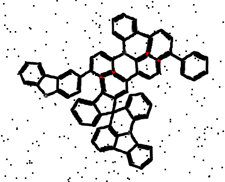 c1ccc(-c2ccc(-c3ccccc3N(c3ccc(-c4ccc5oc6ccccc6c5c4)cc3)c3ccccc3-c3ccc4c(c3)C3(c5ccccc5-4)c4ccccc4-n4c5ccccc5c5cccc3c54)cc2)cc1